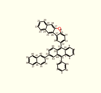 c1ccc(-c2c3ccccc3c(-c3ccc4oc5cc6ccccc6cc5c4c3)c3ccc(-c4ccc5ccccc5c4)cc23)cc1